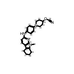 Cn1c2c(c3ccc(Nc4ccc(N5CCC(OC#N)CC5)cc4)nc31)CCCC2